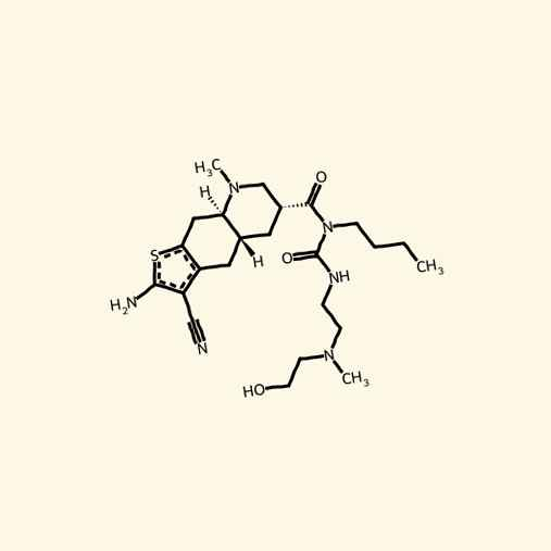 CCCCN(C(=O)NCCN(C)CCO)C(=O)[C@@H]1C[C@@H]2Cc3c(sc(N)c3C#N)C[C@H]2N(C)C1